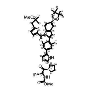 COC(=O)N[C@H](C(=O)N1CCC[C@H]1c1ncc(-c2cc(F)c3c(c2)OC(c2ccc(CC(C)(C)OC)s2)n2c-3cc3cc(B4OC(C)(C)C(C)(C)O4)ccc32)[nH]1)C(C)C